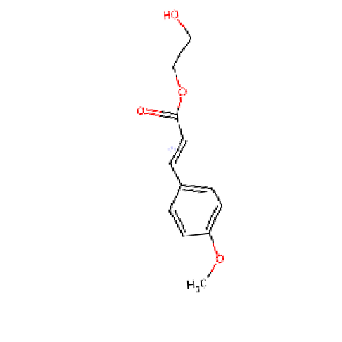 COc1ccc(/C=C/C(=O)OCCO)cc1